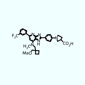 COCC1(CN(C)c2cc(-c3cccc(C(F)(F)F)c3)nc3nc(-c4ccc(N5CCC(C(=O)O)C5)cc4)[nH]c23)CCC1